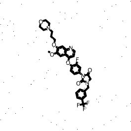 COc1cc2c(Oc3ccc(N4C(=O)CN(Cc5cccc(C(F)(F)F)c5)C4=O)cc3F)ccnc2cc1OCCCN1CCOCC1